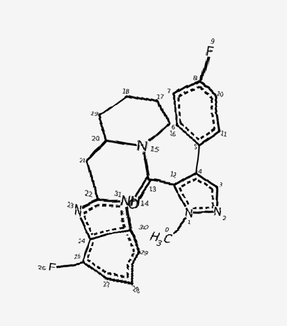 Cn1ncc(-c2ccc(F)cc2)c1C(=O)N1CCCCC1Cc1nc2c(F)cccc2[nH]1